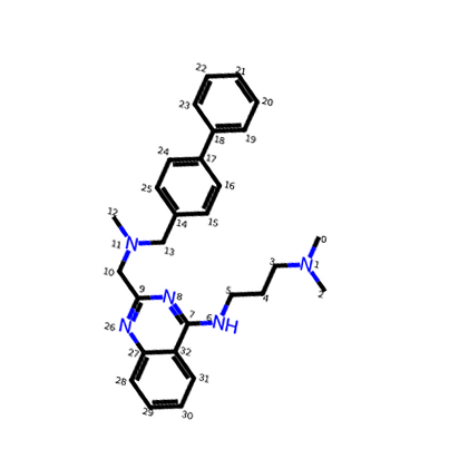 CN(C)CCCNc1nc(CN(C)Cc2ccc(-c3ccccc3)cc2)nc2ccccc12